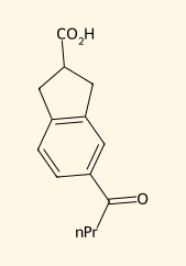 CCCC(=O)c1ccc2c(c1)CC(C(=O)O)C2